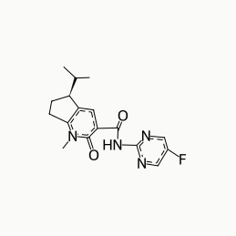 CC(C)[C@@H]1CCc2c1cc(C(=O)Nc1ncc(F)cn1)c(=O)n2C